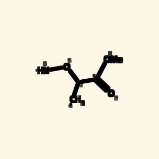 COC(=O)C(C)O[NH]